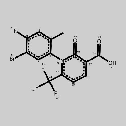 Cc1cc(F)c(Br)cc1-n1c(C(F)(F)F)ccc(C(=O)O)c1=O